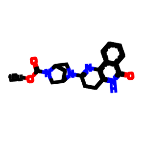 CC(C)(C)OC(=O)N1CC2CC1CN2C1=Nc2c([nH]c(=O)c3ccccc23)CC1